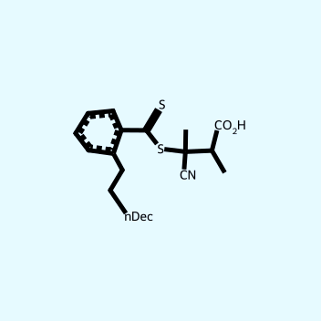 CCCCCCCCCCCCc1ccccc1C(=S)SC(C)(C#N)C(C)C(=O)O